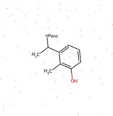 CCCCCC(C)c1cccc(O)c1C